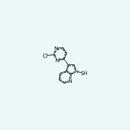 Sn1cc(-c2ccnc(Cl)n2)c2cccnc21